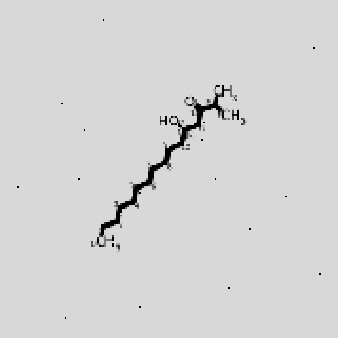 CCCCCCCCCCC[C@@H](O)CC(=O)C(C)C